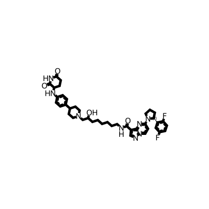 O=C1CCC(Nc2ccc(C3CCN(CC(O)CCCCCCNC(=O)c4cnn5ccc(N6CCC[C@@H]6c6cc(F)ccc6F)nc45)CC3)cc2)C(=O)N1